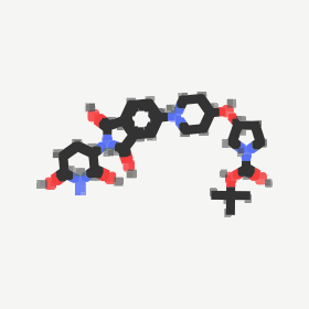 CC(C)(C)OC(=O)N1CC[C@H](OC2CCN(c3ccc4c(c3)C(=O)N(C3CCC(=O)NC3=O)C4=O)CC2)C1